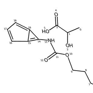 CC(O)C(=O)O.CCCCOC(=O)Nc1c2cccc1-2